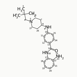 CC(C)(C)CN1CCC(Nc2ccc(C(=O)Nc3ccccc3N)cc2)CC1